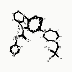 O=C(Nc1ccncn1)N1c2cc(N3CCCN(CC(F)(F)F)CC3)ccc2N2CCC[C@H]1C2